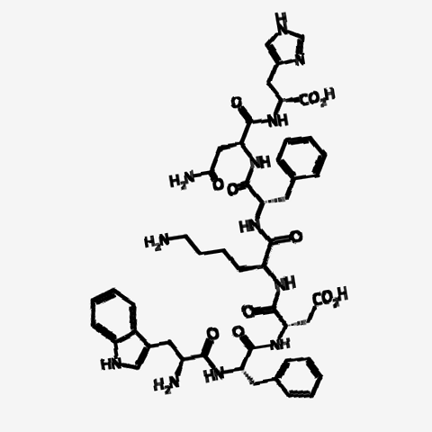 NCCCC[C@H](NC(=O)[C@H](CC(=O)O)NC(=O)[C@H](Cc1ccccc1)NC(=O)[C@@H](N)Cc1c[nH]c2ccccc12)C(=O)N[C@@H](Cc1ccccc1)C(=O)N[C@@H](CC(N)=O)C(=O)N[C@@H](Cc1c[nH]cn1)C(=O)O